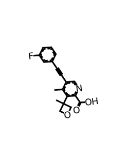 Cc1c(C#Cc2cccc(F)c2)cnc(C(=O)O)c1C1(C)COC1